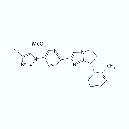 COc1nc(-c2cn3c(n2)[C@@H](c2ccccc2C(F)(F)F)CC3)ccc1-n1cnc(C)c1